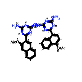 COc1cc2ccccc2cc1-c1nc(N)nc(N)n1.COc1ccc(-c2nc(N)nc(N)n2)c2ccccc12